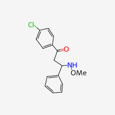 CONC(CC(=O)c1ccc(Cl)cc1)c1ccccc1